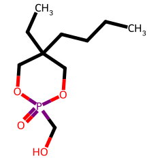 CCCCC1(CC)COP(=O)(CO)OC1